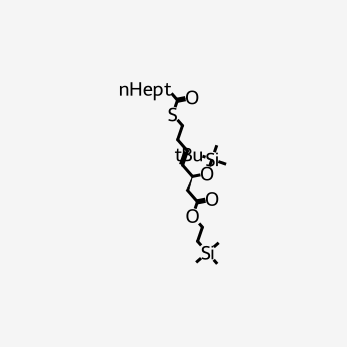 CCCCCCCC(=O)SCC/C=C/[C@H](CC(=O)OCC[Si](C)(C)C)O[Si](C)(C)C(C)(C)C